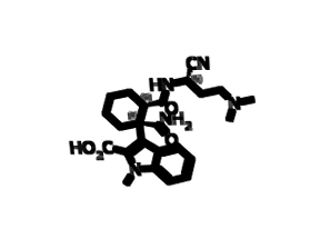 CN(C)CC[C@@H](C#N)NC(=O)[C@@H]1CCCC[C@@]1(C(N)=O)c1c(C(=O)O)n(C)c2ccccc12